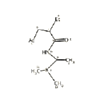 CCC(CC(C)=O)C(=O)NC(C)B(C)C